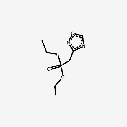 CCOP(=O)(Cc1ncon1)OCC